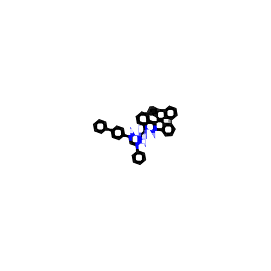 c1ccc(-c2ccc(-c3cc(-c4ccccc4)nc(-c4nc5c(c6ccccc46)C4(c6ccccc6-c6ccccc64)c4ccccc4-5)n3)cc2)cc1